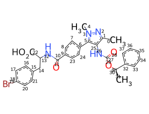 Cc1nn(C)c(-c2ccc(C(=O)NC(Cc3ccc(Br)cc3)C(=O)O)cc2)c1NC(=O)O[C@H](C)c1ccccc1